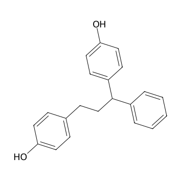 Oc1ccc(CCC(c2ccccc2)c2ccc(O)cc2)cc1